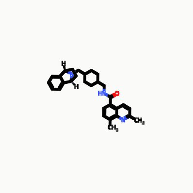 Cc1ccc2c(C(=O)NCC3CCC(CN4[C@H]5CC[C@H]4c4ccccc45)CC3)ccc(C)c2n1